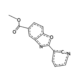 COC(=O)c1ccc2oc(-c3cccnc3)nc2c1